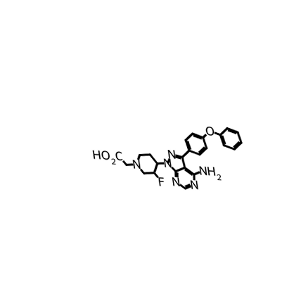 Nc1ncnc2c1c(-c1ccc(Oc3ccccc3)cc1)nn2C1CCN(CC(=O)O)CC1F